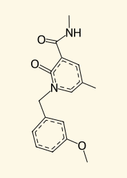 CNC(=O)c1cc(C)cn(Cc2cccc(OC)c2)c1=O